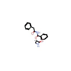 O=C(Cc1ccccc1)NC(O[C@H]1CNC1=O)c1ccccc1